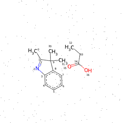 CC1=Nc2ccccc2C1(C)C.CCC(=O)O